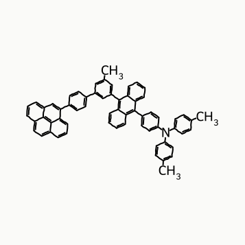 Cc1ccc(N(c2ccc(C)cc2)c2ccc(-c3c4ccccc4c(-c4cc(C)cc(-c5ccc(-c6cc7cccc8ccc9cccc6c9c87)cc5)c4)c4ccccc34)cc2)cc1